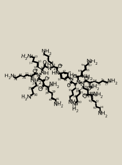 NCCCC[C@H](NC(=O)[C@H](CCCCN)NN(C(=O)[C@@H](N)CCCCN)[C@@H](CCCCN)C(=O)C(=O)[C@@H](N)CCCCN)C(=O)Nc1ccc(NC(=O)[C@H](CCCCN)N(C(=O)[C@@H](N)CCCCN)N(C(=O)[C@@H](N)CCCCN)[C@@H](CCCCN)C(=O)C(=O)[C@@H](N)CCCCN)cc1